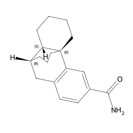 NC(=O)c1ccc2c(c1)[C@@]13CCCC[C@H]1[C@H](CCC3)C2